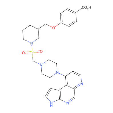 O=C(O)c1ccc(OCC2CCCN(S(=O)(=O)CN3CCN(c4ccnc5cnc6[nH]ccc6c45)CC3)C2)cc1